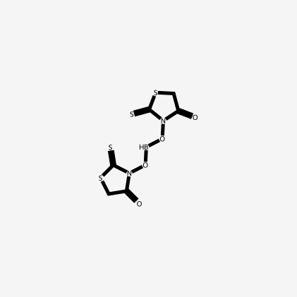 O=C1CSC(=S)N1OBON1C(=O)CSC1=S